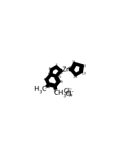 CC1=C(C)CC2CC[CH]([Zr+2][C]3=CC=CC3)C2=C1.[Cl-].[Cl-]